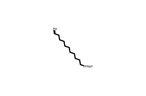 CCCCCCCCCCCCCCCCCC=P